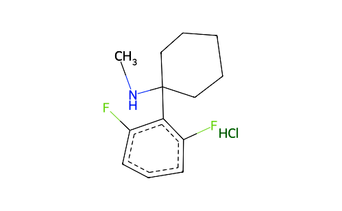 CNC1(c2c(F)cccc2F)CCCCC1.Cl